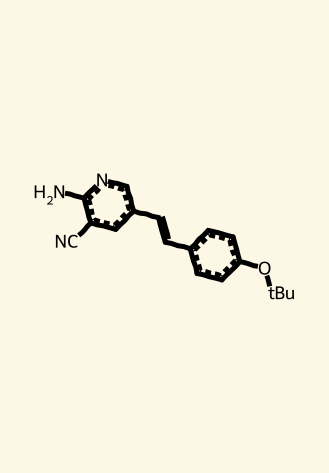 CC(C)(C)Oc1ccc(C=Cc2cnc(N)c(C#N)c2)cc1